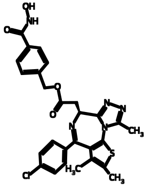 Cc1sc2c(c1C)C(c1ccc(Cl)cc1)=N[C@@H](CC(=O)OCc1ccc(C(=O)NO)cc1)c1nnc(C)n1-2